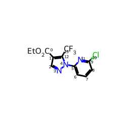 CCOC(=O)c1cnn(-c2cccc(Cl)n2)c1C(F)(F)F